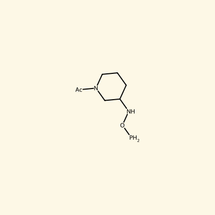 CC(=O)N1CCCC(NOP)C1